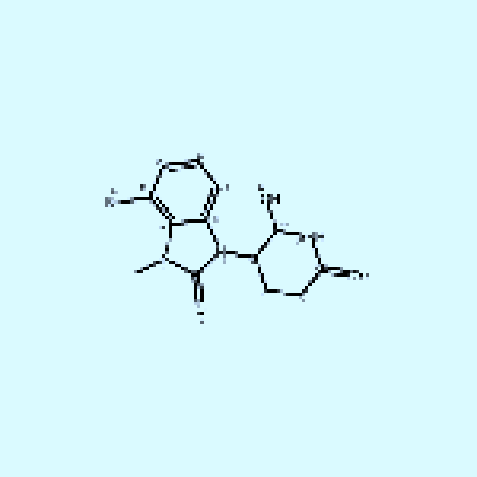 Cn1c(=O)n(C2CCC(=O)NC2O)c2cccc(Br)c21